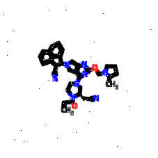 C=CC(=O)N1CCN(c2nc(OCN3CCCC3C)nc3c2CN(C2c4cccc5cccc(c45)C2C#N)C3)C[C@@H]1CC#N